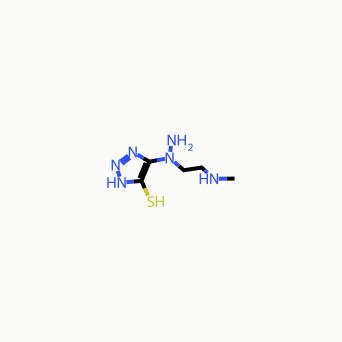 CNCCN(N)c1nn[nH]c1S